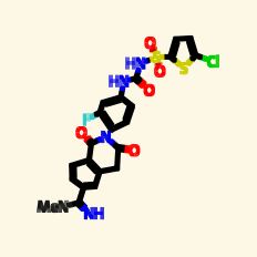 CNC(=N)c1ccc2c(c1)CC(=O)N(c1ccc(NC(=O)NS(=O)(=O)c3ccc(Cl)s3)cc1F)C2=O